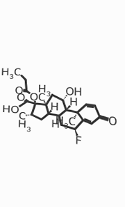 CCC(=O)O[C@]1(C(=O)O)[C@@H](C)C[C@H]2[C@@H]3C[C@H](F)C4=CC(=O)C=C[C@]4(C)[C@H]3[C@@H](O)C[C@@]21C